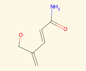 C=C(C=CC(N)=O)C[O]